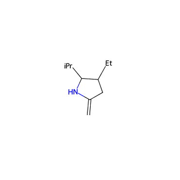 C=C1CC(CC)C(C(C)C)N1